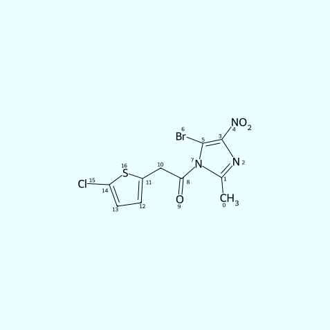 Cc1nc([N+](=O)[O-])c(Br)n1C(=O)Cc1ccc(Cl)s1